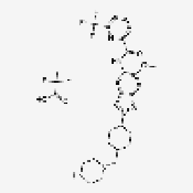 COc1cc2nn(C3CCC(CN4CCNCC4)CC3)cc2cc1NC(=O)c1cccc(C(F)(F)F)n1.O=C(O)C(F)(F)F